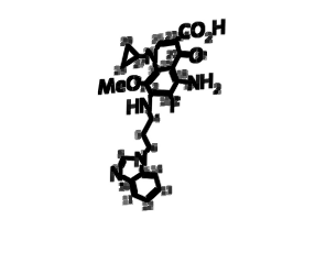 COc1c(NCCCn2cnc3ccccc32)c(F)c(N)c2c(=O)c(C(=O)O)cn(C3CC3)c12